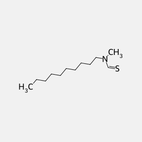 CCCCCCCCCCN(C)C=S